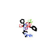 CC(=N)N1CCC(CNC(=O)[C@H](C2CCCCC2)N(OC(=O)C(F)(F)F)C(=O)OCc2ccccc2)CC1